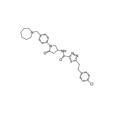 O=C(NC1CC(=O)N(c2ccc(CN3CCCCCC3)cc2)C1)c1nnc(CCc2ccc(Cl)cc2)s1